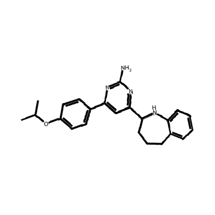 CC(C)Oc1ccc(-c2cc(C3CCCc4ccccc4N3)nc(N)n2)cc1